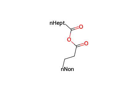 CCCCCCCCCCCC(=O)OC(=O)CCCCCCC